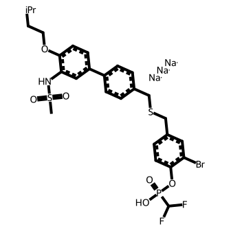 CC(C)CCOc1ccc(-c2ccc(CSCc3ccc(OP(=O)(O)C(F)F)c(Br)c3)cc2)cc1NS(C)(=O)=O.[Na].[Na].[Na]